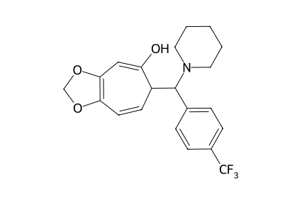 OC1=CC2=C(C=CC1C(c1ccc(C(F)(F)F)cc1)N1CCCCC1)OCO2